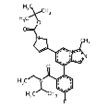 CCN(C(=O)c1cc(F)ccc1-c1cc(C2=CCN(C(=O)OC(C)(C)C)C2)cn2c(C)ncc12)C(C)C